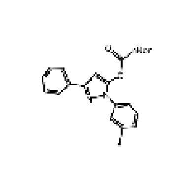 CCCCCCCCCC(=O)Oc1cc(-c2ccccc2)nn1-c1cccc(F)c1